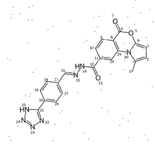 Cc1ccc2oc(=O)c3ccc(C(=O)N/N=C/c4ccc(-c5nnn[nH]5)cc4)cc3n12